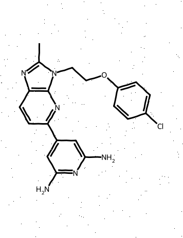 Cc1nc2ccc(-c3cc(N)nc(N)c3)nc2n1CCOc1ccc(Cl)cc1